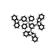 c1ccc([Si](c2ccccc2)(c2cccc(-n3c4ccccc4c4ccccc43)c2)c2cc(-n3c4ccccc4n4c5ccccc5nc34)nc(-n3c4ccccc4n4c5ccccc5nc34)c2)cc1